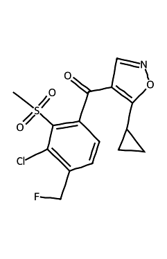 CS(=O)(=O)c1c(C(=O)c2cnoc2C2CC2)ccc(CF)c1Cl